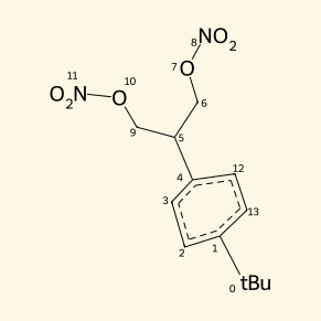 CC(C)(C)c1ccc(C(CO[N+](=O)[O-])CO[N+](=O)[O-])cc1